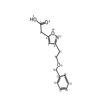 O=C(O)Cc1cc(CCOCc2ccccc2)no1